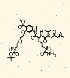 COC(=O)c1ccc(NC(=O)[C@H](CCCNC(N)=O)NC(=O)[C@@H](CC(=O)CN(C)C)C(C)C)cc1OCCOCCNC(=O)OC(C)(C)C